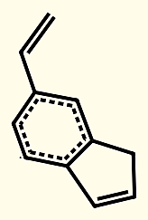 C=Cc1c[c]c2c(c1)CC=C2